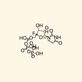 O=c1ccn([C@H]2O[C@@](F)(COP(=O)(O)OP(=O)(O)OP(=O)(O)O)C(O)C2O)c(=O)[nH]1